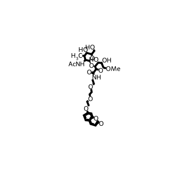 COC1OC(C(=O)NCCOCCOCCOc2ccc3ccc(=O)oc3c2)[C@@H](O[C@@H]2OC(CO)C(O)C(C)C2NC(C)=O)C(O)C1O